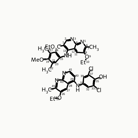 CCOC(=O)c1cnc2nc(C)c(OCC)cc2c1Nc1cc(C)c(OC)c(C)c1.CCOc1cc2c(Nc3cc(Cl)c(O)c(Cl)c3)ccnc2nc1C